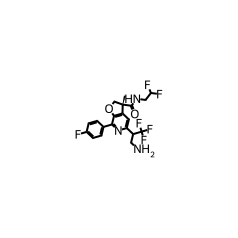 C[C@]1(C(=O)NCC(F)F)COc2c1cc(C(CN)C(F)(F)F)nc2-c1ccc(F)cc1